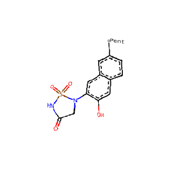 CCCCCc1ccc2cc(O)c(N3CC(=O)NS3(=O)=O)cc2c1